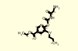 CCCOc1cc(C(=O)OCC)cnc1OC(=O)NC(=O)CN